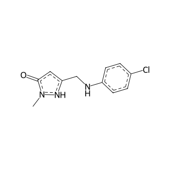 Cn1[nH]c(CNc2ccc(Cl)cc2)cc1=O